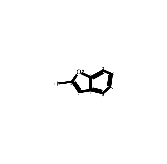 Ic1cc2ccccc2o1